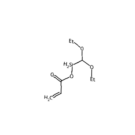 C=CC(=O)O[SiH2]C(OCC)OCC